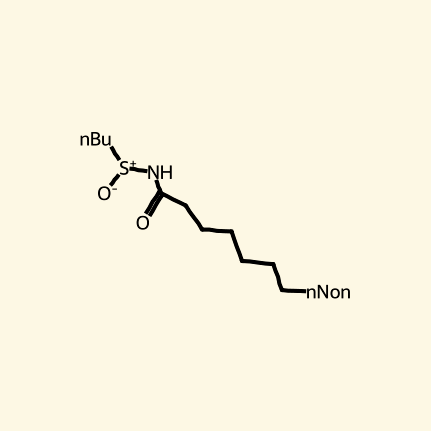 CCCCCCCCCCCCCCCC(=O)N[S+]([O-])CCCC